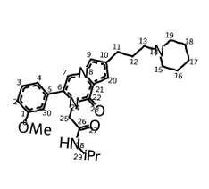 COc1cccc(-c2cn3cc(CCCN4CCCCC4)cc3c(=O)n2CC(=O)NC(C)C)c1